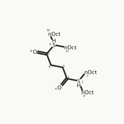 CCCCCCCC[SH](CCCCCCCC)C(=O)CCC(=O)[SH](CCCCCCCC)CCCCCCCC